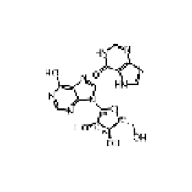 O=c1[nH]cnc2nc[nH]c12.OC[C@H]1O[C@@H](n2cnc3c(O)ncnc32)[C@H](O)[C@@H]1O